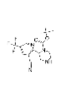 CC(C)(C)OC(=O)N1CCNCC1c1ncc(C(F)(F)F)cc1C#N